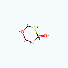 O=C1OCOCS1